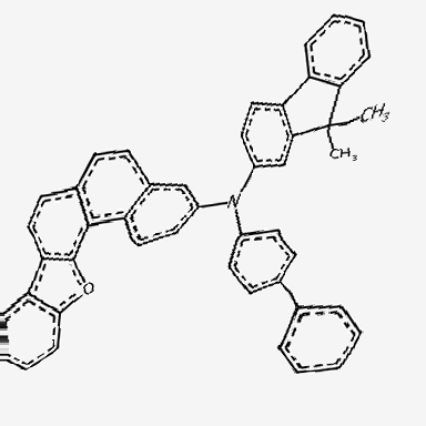 CC1(C)c2ccccc2-c2ccc(N(c3ccc(-c4ccccc4)cc3)c3ccc4c(ccc5ccc6c7ccccc7oc6c54)c3)cc21